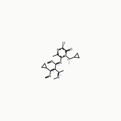 C=NC(=N\c1c(C)nc(Cl)c(=O)n1[C@@H](C)C1CC1)/C(C(/C)=N\C)=C(/N=C)C1CC1